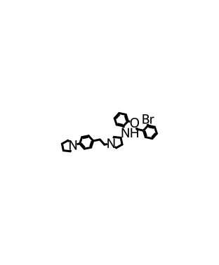 Brc1ccccc1COc1ccccc1N[C@@H]1CCN(CCc2ccc(N3CCCC3)cc2)C1